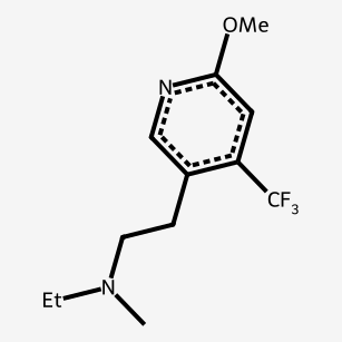 CCN(C)CCc1cnc(OC)cc1C(F)(F)F